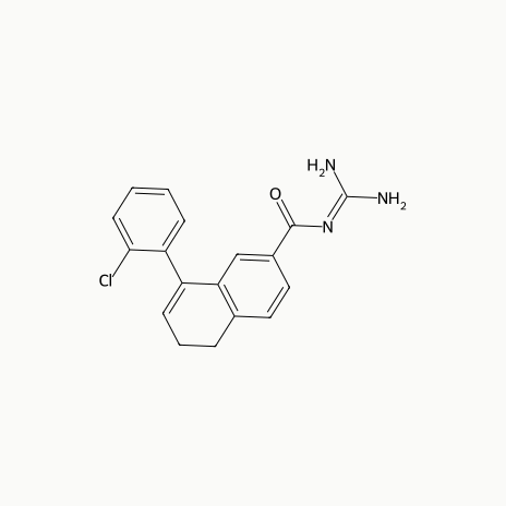 NC(N)=NC(=O)c1ccc2c(c1)C(c1ccccc1Cl)=CCC2